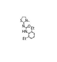 CCc1cccc(CC)c1NC(=O)N=C1SCCN1C